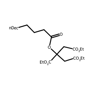 CCCCCCCCCCCCCC(=O)OC(CC(=O)OCC)(CC(=O)OCC)C(=O)OCC